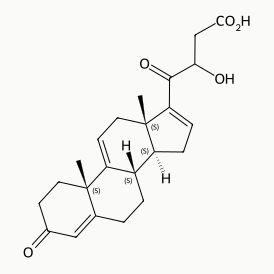 C[C@]12CCC(=O)C=C1CC[C@@H]1C2=CC[C@]2(C)C(C(=O)C(O)CC(=O)O)=CC[C@@H]12